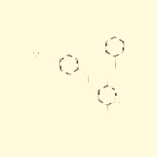 COc1ccc(CSc2cc(O)ncc2OCc2ccccc2)cc1